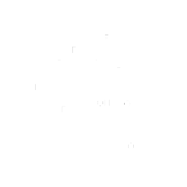 C=CC(=O)OC.OC(C(F)(F)F)C(F)(F)F